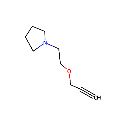 C#CCOCCN1CCCC1